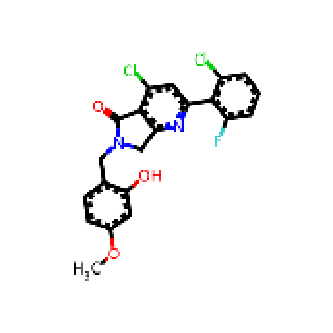 COc1ccc(CN2Cc3nc(-c4c(F)cccc4Cl)cc(Cl)c3C2=O)c(O)c1